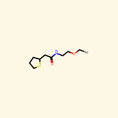 CC(=O)COCCNC(=O)CC1CCCS1